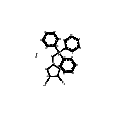 F[C@@H]1C[C@H](C[P+](c2ccccc2)(c2ccccc2)c2ccccc2)C[C@@H]1F.[I-]